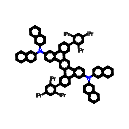 CC(C)c1cc(C(C)C)c(-c2ccc3c(c2)c2cc4c5ccc(N(c6ccc7ccccc7c6)c6ccc7ccccc7c6)cc5c5ccc(-c6c(C(C)C)cc(C(C)C)cc6C(C)C)cc5c4cc2c2ccc(N(c4ccc5ccccc5c4)c4ccc5ccccc5c4)cc32)c(C(C)C)c1